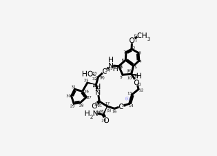 COc1ccc2c(c1)[C@@H]1C[C@H]2OC/C=C/CC[C@@H](C(N)=O)C(=O)N[C@@H](Cc2ccccc2)[C@H](O)CN1